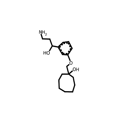 NCCC(O)c1cccc(OCC2(O)CCCCCCC2)c1